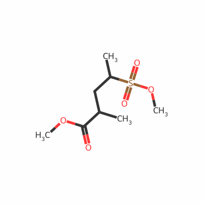 COC(=O)C(C)CC(C)S(=O)(=O)OC